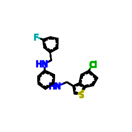 Fc1cccc(CNc2cccc(NCc3csc4ccc(Cl)cc34)c2)c1